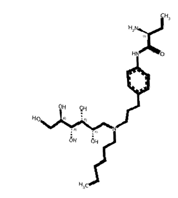 CCCCCCN(CCCc1ccc(NC(=O)[C@@H](N)CC)cc1)C[C@H](O)[C@@H](O)[C@H](O)[C@H](O)CO